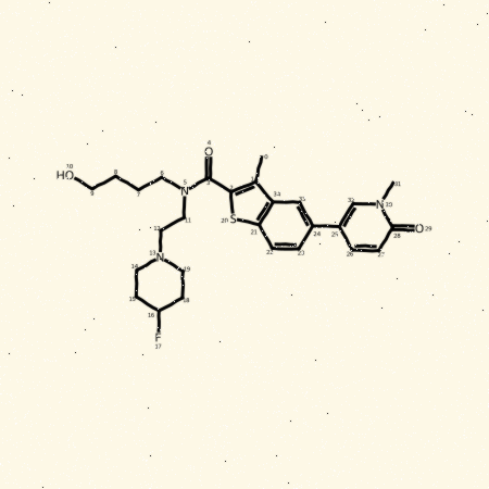 Cc1c(C(=O)N(CCCCO)CCN2CCC(F)CC2)sc2ccc(-c3ccc(=O)n(C)c3)cc12